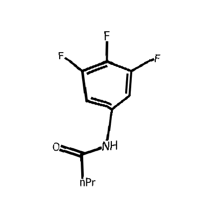 CCCC(=O)Nc1cc(F)c(F)c(F)c1